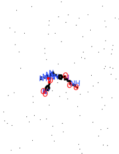 COCCNC(=O)CCC(I)CC(=O)c1ccc(NCc2cnc3nc(/N=C/N(C)C)nc(OCCc4ccc([N+](=O)[O-])cc4)c3n2)cc1